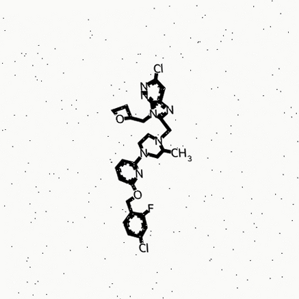 CC1CN(c2cccc(OCc3ccc(Cl)cc3F)n2)CCN1Cc1nc2cc(Cl)nnc2n1CC1CCO1